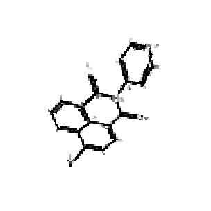 O=C1c2cccc3c(Br)ccc(c23)C(=O)N1c1ccncc1